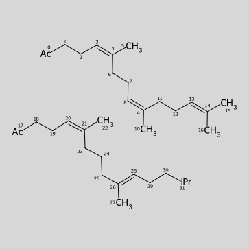 CC(=O)CCC=C(C)CCC=C(C)CCC=C(C)C.CC(=O)CCC=C(C)CCCC(C)=CCCC(C)C